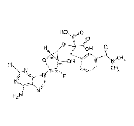 CN(C)C(=O)c1cccc(CC(OC2[C@H]3O[C@@H](n4cnc5c(N)nc(Cl)nc54)[C@@H](F)[C@@]23O)(C(=O)O)C(=O)O)c1